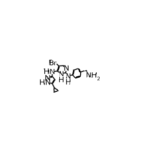 NCc1ccc(NC2N=CC(Br)=C(Nc3cc(C4CC4)[nH]n3)N2)cc1